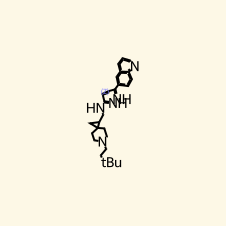 CC(C)(C)CCN1CCC2(CC1)CC2CNC(=N)/C=C\C(=N)c1ccc2ncccc2c1